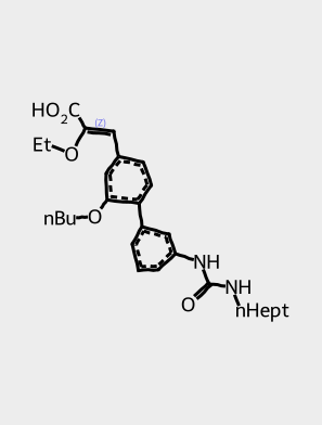 CCCCCCCNC(=O)Nc1cccc(-c2ccc(/C=C(\OCC)C(=O)O)cc2OCCCC)c1